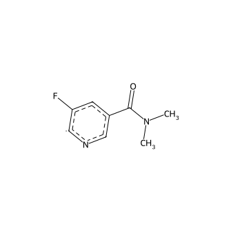 CN(C)C(=O)c1cn[c]c(F)c1